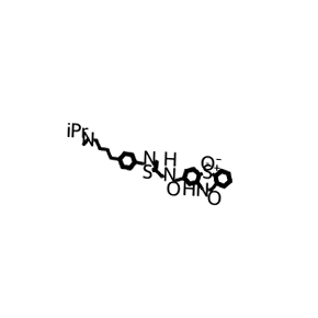 CC(C)N(C)CCCCc1ccc(-c2ncc(CNC(=O)c3ccc4c(c3)NC(=O)c3ccccc3[S+]4[O-])s2)cc1